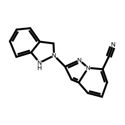 N#Cc1cccc2cc(N3Cc4ccccc4N3)nn12